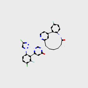 C[C@@H]1CCC[C@H](n2cnc(-c3c(-n4cc(Cl)nn4)ccc(Cl)c3F)cc2=O)c2cc(ccn2)-c2cc(F)ccc2NC1=O